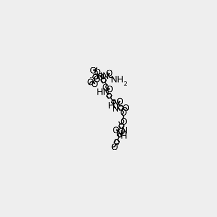 COC(=O)[C@H]1O[C@H](Oc2ccc(COC(=O)Nc3ccc(C4=CN5C(=O)c6cc(OC)c(OCCCOc7cc8c(cc7C)C(=O)N7C=C(c9ccc(OC)cc9)C[C@H]7C=N8)cc6N=C[C@@H]5C4)cc3)cc2NC(=O)CCN)[C@H](OC(C)=O)[C@@H](C)[C@@H]1C